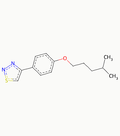 CC(C)CCCOc1ccc(-c2csnn2)cc1